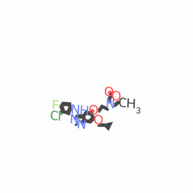 C[C@@H]1CN(CCCOc2cc3c(Nc4ccc(F)c(Cl)c4)ncnc3cc2OCC2CC2)CC(=O)O1